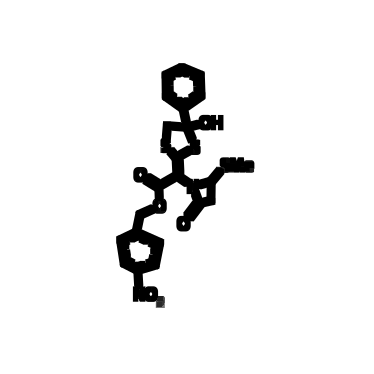 CSC1CC(=O)N1C(C(=O)OCc1ccc([N+](=O)[O-])cc1)=C1SCC(O)(c2ccccc2)S1